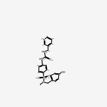 CN(Cc1ccc(O)cc1)S(=O)(=O)c1ccc(NC(=O)NCc2cccnc2)cc1